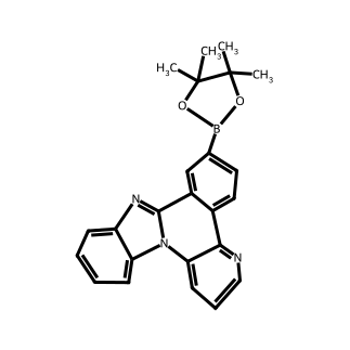 CC1(C)OB(c2ccc3c(c2)c2nc4ccccc4n2c2cccnc32)OC1(C)C